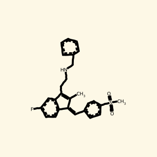 CC1=C(CCNCc2ccccc2)c2cc(F)ccc2C1=Cc1ccc(S(C)(=O)=O)cc1